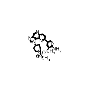 Cc1cc(-c2ccc3ncc4ncn(C5CCN(S(C)(=O)=O)CC5)c4c3n2)cnc1N